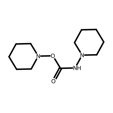 O=C(NN1CCCCC1)ON1CCCCC1